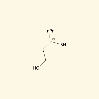 CCC[C@H](S)CCO